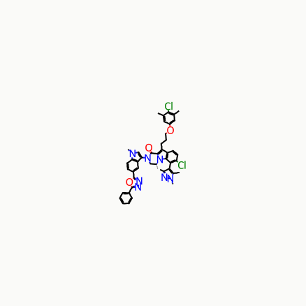 Cc1cc(OCCCc2c3n(c4c(-c5c(C)nn(C)c5C)c(Cl)ccc24)[C@H](C)CN(c2cn(C)c4ccc(-c5nnc(-c6ccccc6)o5)cc24)C3=O)cc(C)c1Cl